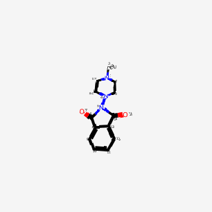 CCCCN1CCN(N2C(=O)c3ccccc3C2=O)CC1